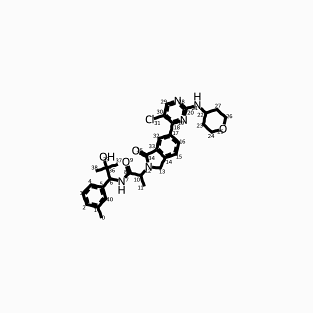 Cc1cccc(C(NC(=O)C(C)N2Cc3ccc(-c4nc(NC5CCOCC5)ncc4Cl)cc3C2=O)C(C)(C)O)c1